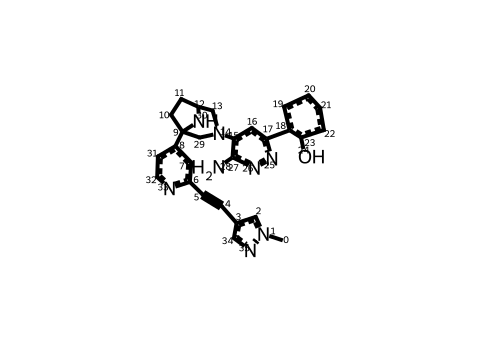 Cn1cc(C#Cc2cc(C34CCC(CN(c5cc(-c6ccccc6O)nnc5N)C3)N4)ccn2)cn1